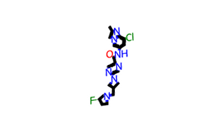 Cc1cn2cc(NC(=O)c3cnc(N4CC(CN5CC[C@H](F)C5)C4)cn3)cc(Cl)c2n1